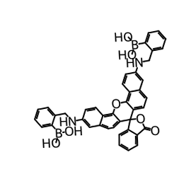 O=C1OC2(c3ccccc31)c1ccc3cc(NCc4ccccc4B(O)O)ccc3c1Oc1c2ccc2cc(NCc3ccccc3B(O)O)ccc12